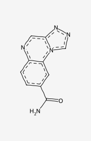 NC(=O)c1ccc2ncc3nncn3c2c1